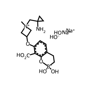 C[N+]1(CC2(N)CC2)CC(Oc2ccc3c(c2C(=O)O)O[B-](O)(O)CC3)C1.[Na+].[Na+].[OH-].[OH-]